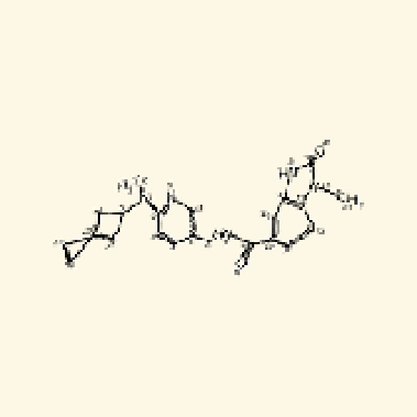 CN(c1ccc(CNC(=O)c2ccc3c(c2)[nH]c(=O)n3C)cn1)C1CC2(CC2)C1